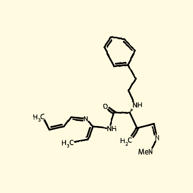 C=C(/C=N\NC)[C@@H](NCCc1ccccc1)C(=O)NC(=C/C)/N=C\C=C/C